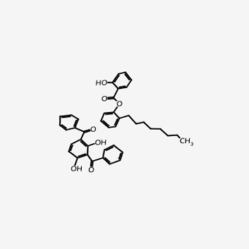 CCCCCCCCc1ccccc1OC(=O)c1ccccc1O.O=C(c1ccccc1)c1ccc(O)c(C(=O)c2ccccc2)c1O